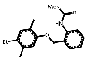 CCc1cc(C)c(OCc2ccccc2NC(=O)NC)cc1C